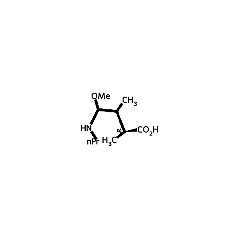 CCCNC(OC)C(C)[C@H](C)C(=O)O